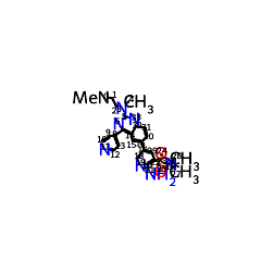 CNCCN(C)c1nc(-c2ccncc2)c2cc(-c3cnc(N)c(S(=O)(=O)N(C)C)c3)ccc2n1